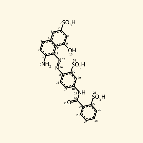 Nc1ccc2cc(S(=O)(=O)O)cc(O)c2c1/N=N/c1ccc(NC(=O)c2ccccc2S(=O)(=O)O)cc1S(=O)(=O)O